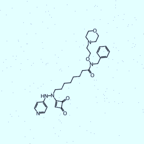 O=C(CCCCCCCN(Nc1ccncc1)c1cc(=O)c1=O)N(Cc1ccccc1)OCCN1CCOCC1